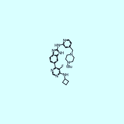 CC(C)(C)N1CCN(Cc2ccnc(Nc3nc4ccc(-c5ncnc(NC6CCC6)c5F)cc4[nH]3)c2)CC1